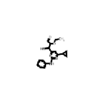 CCOC(C=O)C(=N)c1cc(C2CC2)nc(Nc2ccccc2)n1